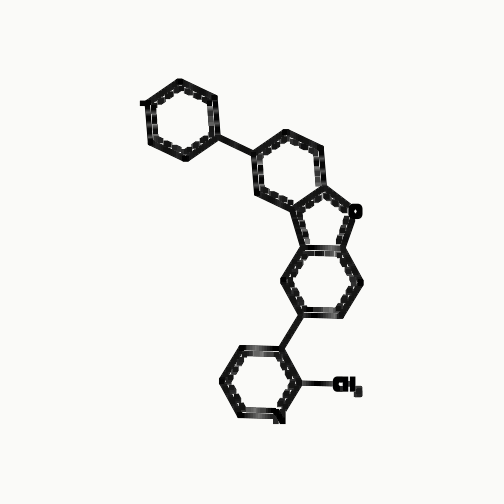 Cc1ncccc1-c1ccc2oc3ccc(-c4cc[c]cc4)cc3c2c1